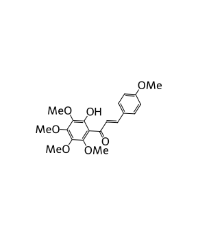 COc1ccc(/C=C/C(=O)c2c(O)c(OC)c(OC)c(OC)c2OC)cc1